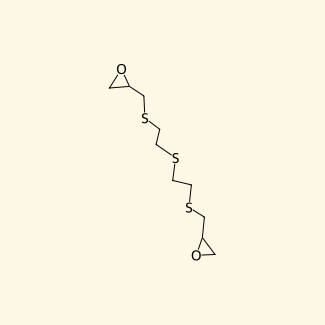 C(CSCC1CO1)SCCSCC1CO1